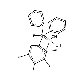 OP(O)(O)=[Se](F)(c1ccccc1)(c1ccccc1)c1cc(F)c(F)c(F)c1F